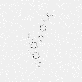 CC(C)S(=O)(=O)c1ccc(-c2nc(-c3cc(-c4ccc(C(=O)NC(=N)N)cc4)no3)c(OC(N)=O)nc2C(C)(C)C)cc1